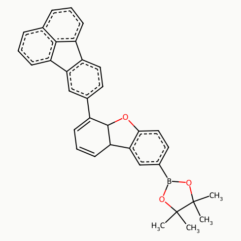 CC1(C)OB(c2ccc3c(c2)C2C=CC=C(c4ccc5c(c4)-c4cccc6cccc-5c46)C2O3)OC1(C)C